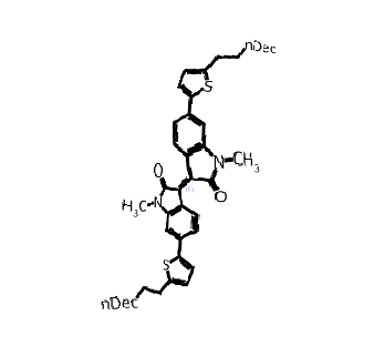 CCCCCCCCCCCCc1ccc(-c2ccc3c(c2)N(C)C(=O)/C3=C2/C(=O)N(C)c3cc(-c4ccc(CCCCCCCCCCCC)s4)ccc32)s1